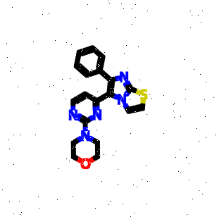 c1ccc(-c2nc3sccn3c2-c2ccnc(N3CCOCC3)n2)cc1